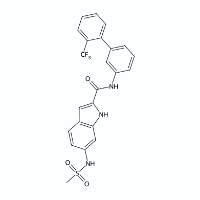 CS(=O)(=O)Nc1ccc2cc(C(=O)Nc3cccc(-c4ccccc4C(F)(F)F)c3)[nH]c2c1